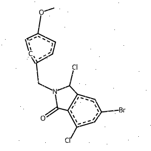 COc1ccc(CN2C(=O)c3c(Cl)cc(Br)cc3C2Cl)cc1